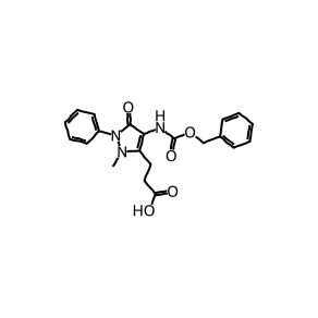 Cn1c(CCC(=O)O)c(NC(=O)OCc2ccccc2)c(=O)n1-c1ccccc1